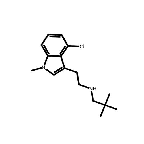 Cn1cc(CCNCC(C)(C)C)c2c(Cl)cccc21